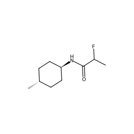 CC(F)C(=O)N[C@H]1CC[C@H](C)CC1